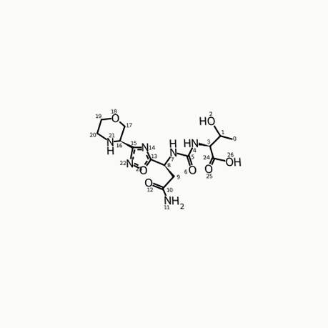 CC(O)[C@H](NC(=O)N[C@@H](CC(N)=O)c1nc([C@@H]2COCCN2)no1)C(=O)O